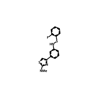 CNc1nc(-c2cccc(NSc3ccccc3F)c2)cs1